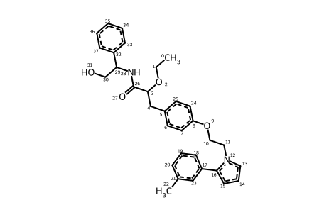 CCOC(Cc1ccc(OCCn2cccc2-c2cccc(C)c2)cc1)C(=O)NC(CO)c1ccccc1